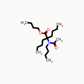 CCCCOC(=O)C(CCCC)(CCCC)N(CCCC)C(C)=O